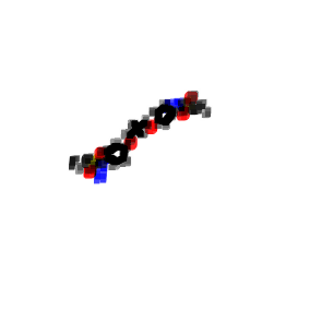 CC(C)(COc1ccc(NS(=O)(=O)C(F)(F)F)cc1)COc1ccc(NS(=O)(=O)C(F)(F)F)cc1